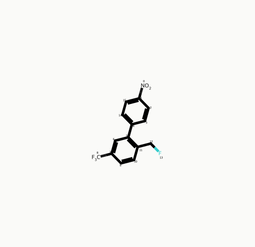 O=[N+]([O-])c1ccc(-c2cc(C(F)(F)F)ccc2CF)cc1